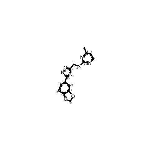 Cc1ccnc(SCc2nc(-c3ccc4c(c3)OCO4)no2)n1